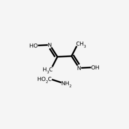 CC(=N\O)/C(C)=N/O.NC(=O)O